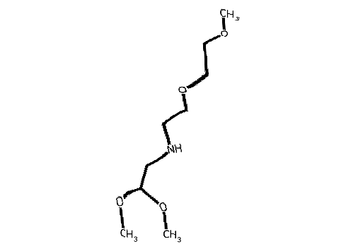 COCCOCCNCC(OC)OC